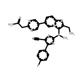 CCc1nc2ccc(-c3cnc(CC(N)=O)nc3)cn2c1N(C)c1nc(-c2ccc(F)cc2)c(C#N)s1